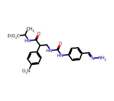 CCOC(=O)C(C)NC(=O)C(CNC(=O)Nc1ccc(C=NN)cc1)c1ccc([N+](=O)[O-])cc1